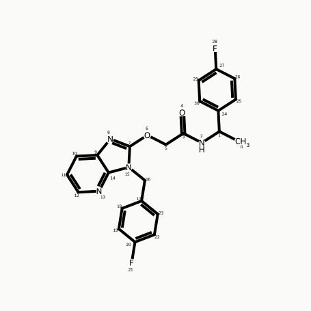 CC(NC(=O)COc1nc2cccnc2n1Cc1ccc(F)cc1)c1ccc(F)cc1